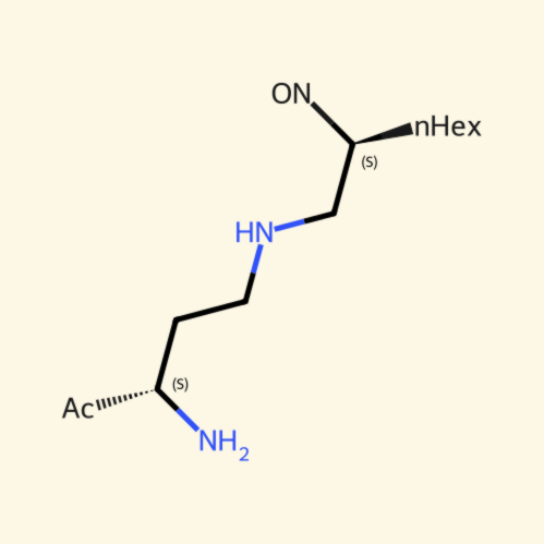 CCCCCC[C@@H](CNCC[C@H](N)C(C)=O)N=O